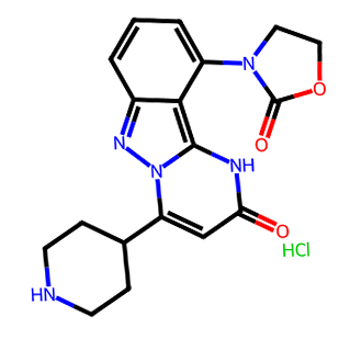 Cl.O=C1OCCN1c1cccc2nn3c(C4CCNCC4)cc(=O)[nH]c3c12